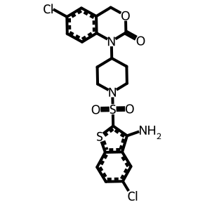 Nc1c(S(=O)(=O)N2CCC(N3C(=O)OCc4cc(Cl)ccc43)CC2)sc2ccc(Cl)cc12